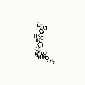 CONC(=O)c1ncnc(Oc2cccc(NC(=O)Nc3ccc(Cl)c(C(F)(F)F)c3)c2)n1